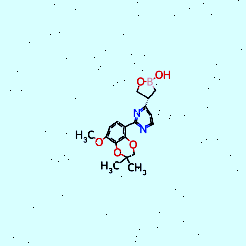 COc1ccc(-c2nccc([C@@H]3COB(O)C3)n2)c2c1OC(C)(C)CO2